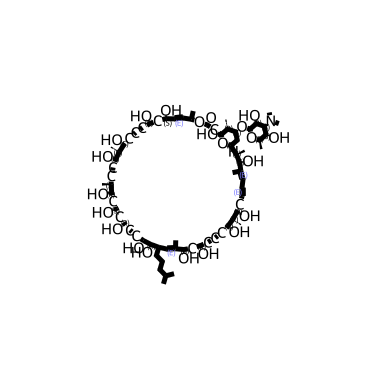 C/C1=C\C=C\C[C@@H](O)[C@H](C)[C@@H](O)CCC[C@@H](O)C[C@H](O)/C(C)=C/C(CCCC(C)C)[C@@H](O)C(O)CC[C@@H](O)C[C@H](O)C[C@@H](O)[C@@H](C)CC[C@@H](O)[C@H](C)[C@@H](O)CCC[C@H](O)C[C@H](O)/C=C/C(C)OC(=O)CC2(O)O[C@@H](C[C@H](OC3O[C@H](C)[C@@H](O)[C@H](N(C)C)[C@H]3O)[C@H]2C)[C@@H](C)[C@@H]1O